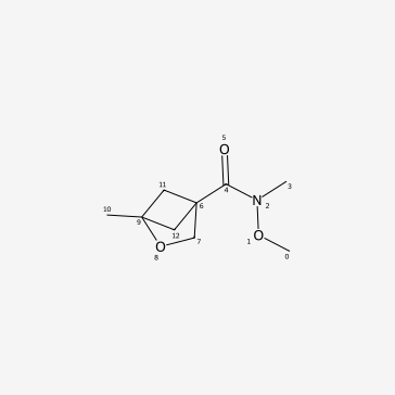 CON(C)C(=O)C12COC(C)(C1)C2